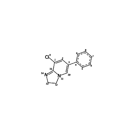 ClC1=CC(c2ccccc2)=CN2CCN=C12